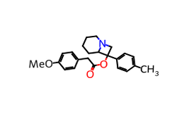 COc1ccc(CC(=O)OC2(c3ccc(C)cc3)CN3CCCCC32)cc1